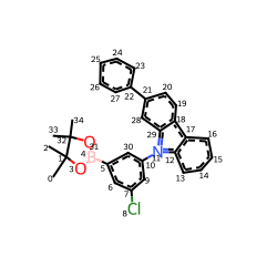 CC1(C)OB(c2cc(Cl)cc(-n3c4ccccc4c4ccc(-c5ccccc5)cc43)c2)OC1(C)C